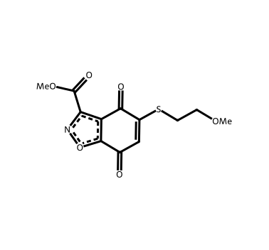 COCCSC1=CC(=O)c2onc(C(=O)OC)c2C1=O